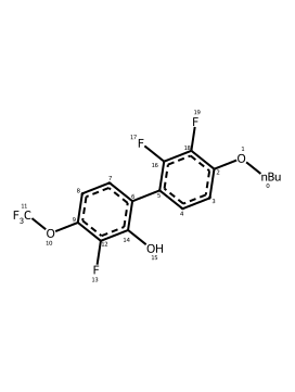 CCCCOc1ccc(-c2ccc(OC(F)(F)F)c(F)c2O)c(F)c1F